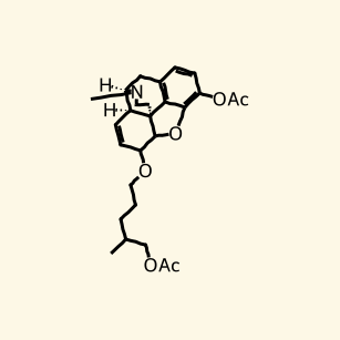 CC(=O)OCC(C)CCCOC1C=C[C@H]2[C@H]3Cc4ccc(OC(C)=O)c5c4[C@@]2(CCN3C)C1O5